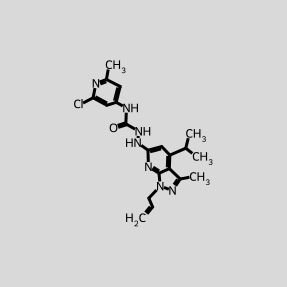 C=CCn1nc(C)c2c(C(C)C)cc(NNC(=O)Nc3cc(C)nc(Cl)c3)nc21